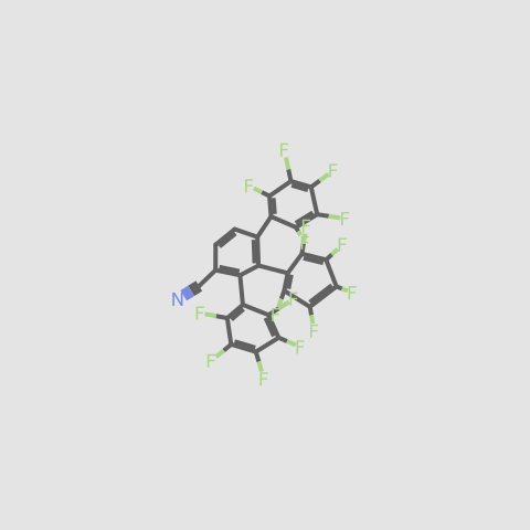 N#Cc1ccc(-c2c(F)c(F)c(F)c(F)c2F)c(-c2c(F)c(F)c(F)c(F)c2F)c1-c1c(F)c(F)c(F)c(F)c1F